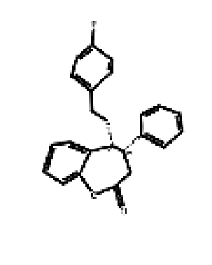 O=C1C[C@@H](c2ccccc2)[C@@H](CCc2ccc(F)cc2)c2ccccc2O1